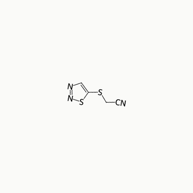 N#CCSc1cnns1